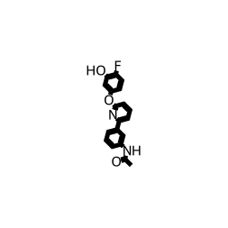 CC(=O)Nc1cccc(-c2cccc(Oc3ccc(F)c(O)c3)n2)c1